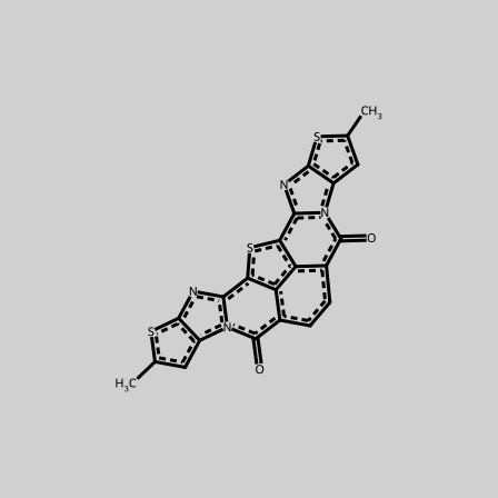 Cc1cc2c(nc3c4sc5c6c(ccc(c(=O)n23)c46)c(=O)n2c3cc(C)sc3nc52)s1